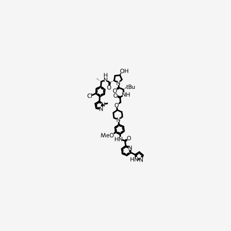 COc1cc(N2CCC(OCC(=O)N[C@H](C(=O)N3C[C@H](O)C[C@H]3C(=O)N[C@@H](C)c3ccc(-c4ccnn4C)c(Cl)c3)C(C)(C)C)CC2)ccc1NC(=O)c1cccc(-c2ccn[nH]2)n1